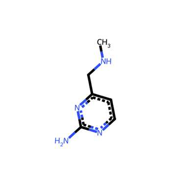 CNCc1ccnc(N)n1